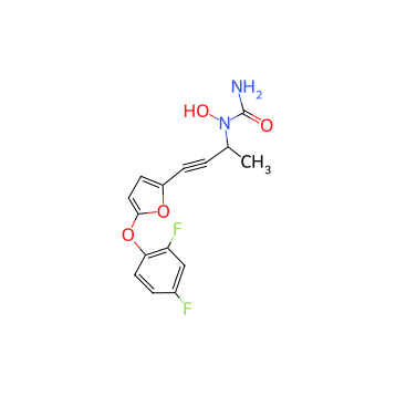 CC(C#Cc1ccc(Oc2ccc(F)cc2F)o1)N(O)C(N)=O